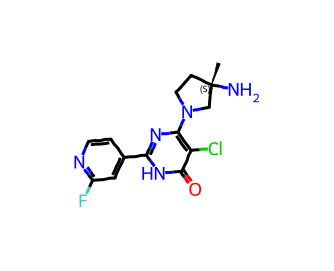 C[C@]1(N)CCN(c2nc(-c3ccnc(F)c3)[nH]c(=O)c2Cl)C1